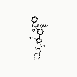 COc1ncc(-c2sc(NC(=O)CC3CCOCC3)nc2C)cc1S(=O)(=O)Nc1ccccc1